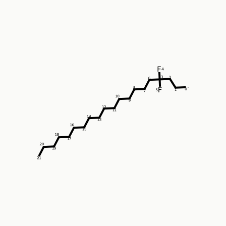 [CH2]CCC(F)(F)CCCCCCCCCCCCCCCC